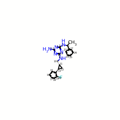 CC(Nc1nc(N)nc(NC[C@@H]2C[C@H]2c2ccccc2F)n1)c1ccccc1